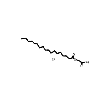 CCCCCCCCCCCCCCCCCC(=O)OCC(=O)O.[Zn]